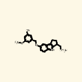 N#Cc1cc(COc2ccc3[nH]c4c(c3c2)CCC4CC(=O)O)cc(OC(F)(F)F)c1